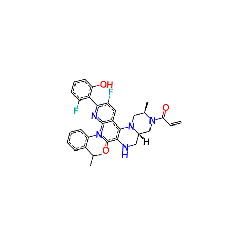 C=CC(=O)N1C[C@@H]2CNc3c(c4cc(F)c(-c5c(O)cccc5F)nc4n(-c4ccccc4C(C)C)c3=O)N2C[C@H]1C